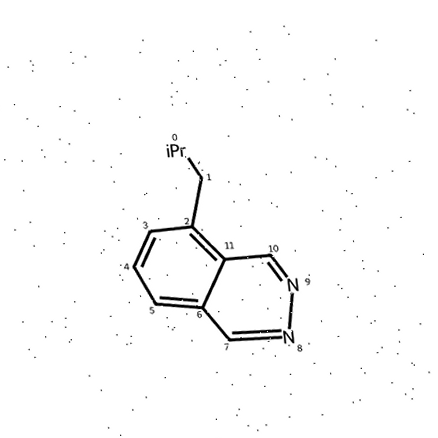 CC(C)Cc1cccc2cnncc12